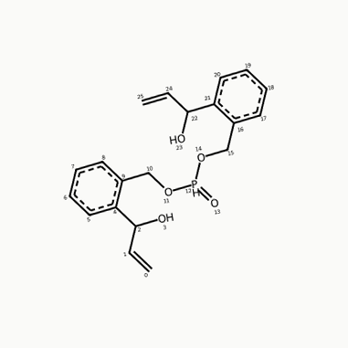 C=CC(O)c1ccccc1CO[PH](=O)OCc1ccccc1C(O)C=C